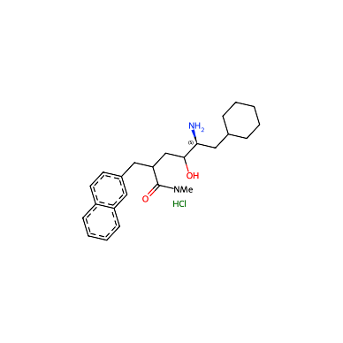 CNC(=O)C(Cc1ccc2ccccc2c1)CC(O)[C@@H](N)CC1CCCCC1.Cl